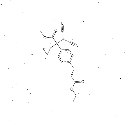 CCOC(=O)CCc1ccc(C(C(=O)OC)(C(C#N)C#N)C2CC2)cc1